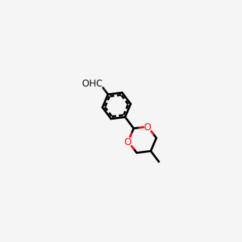 CC1COC(c2ccc(C=O)cc2)OC1